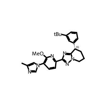 COc1nc(-c2nc3n(n2)CCC[C@H]3c2cccc(C(C)(C)C)c2)ccc1-n1cnc(C)c1